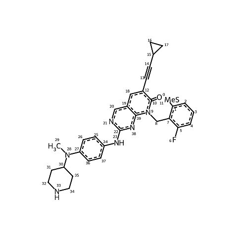 CSc1cccc(F)c1Cn1c(=O)c(C#CC2CC2)cc2cnc(Nc3ccc(N(C)C4CCNCC4)cc3)nc21